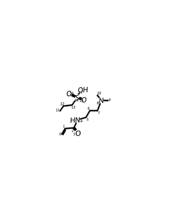 C=CC(=O)NCCCN(C)C.CCCS(=O)(=O)O